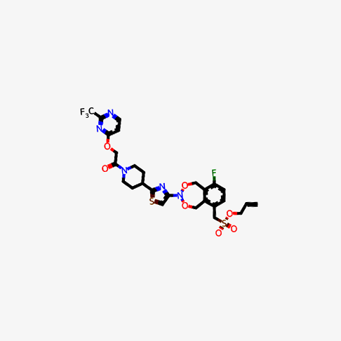 C=CCOS(=O)(=O)Cc1ccc(F)c2c1CON(c1csc(C3CCN(C(=O)COc4ccnc(C(F)(F)F)n4)CC3)n1)OC2